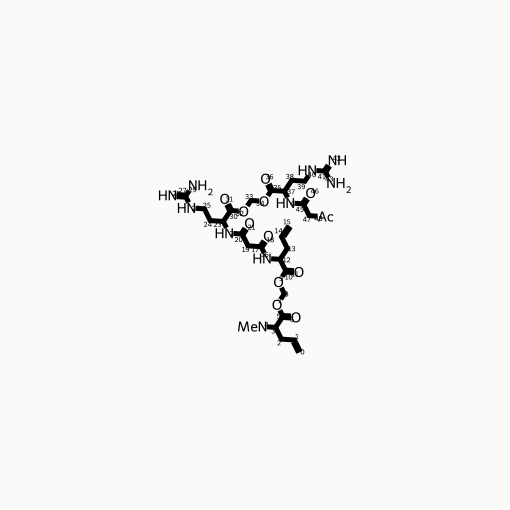 C=CCC(NC)C(=O)OCOC(=O)C(CC=C)NC(=O)CC(=O)NC(CCNC(=N)N)C(=O)OCOC(=O)C(CCNC(=N)N)NC(=O)CC(C)=O